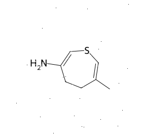 CC1=CSC=C(N)CC1